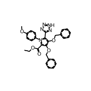 CCOC(=O)c1c(OCc2ccccc2)c(OCc2ccccc2)c(-c2nn[nH]n2)n1-c1ccc(OC)cc1